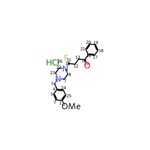 COc1ccc(CN2CCN(C(F)CCC(=O)c3ccccc3)CC2)cc1.Cl